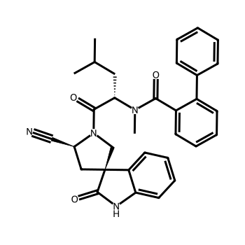 CC(C)C[C@@H](C(=O)N1C[C@]2(C[C@H]1C#N)C(=O)Nc1ccccc12)N(C)C(=O)c1ccccc1-c1ccccc1